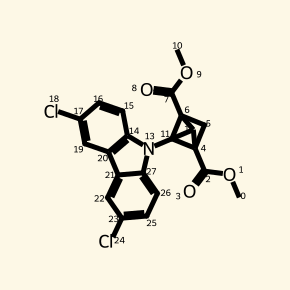 COC(=O)C12CC(C(=O)OC)(C1)C2n1c2ccc(Cl)cc2c2cc(Cl)ccc21